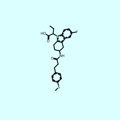 CCC(C(=O)O)n1c2c(c3cc(F)ccc31)CC(NC(=O)CCc1ccc(SC)cc1)CC2